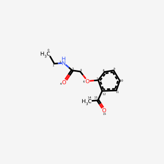 CCNC(=O)COc1ccccc1C(C)=O